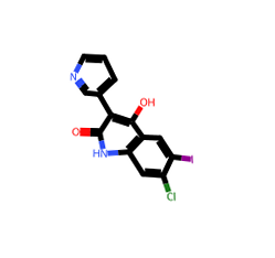 O=c1[nH]c2cc(Cl)c(I)cc2c(O)c1-c1cccnc1